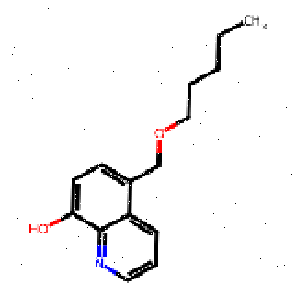 CCCCCOCc1ccc(O)c2ncccc12